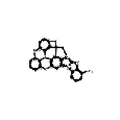 Cc1cccc2c1nc1n3c4c5c6c(cc4n21)Oc1cccc2c1B6c1c(ccc4c1C5(C4)C3)O2